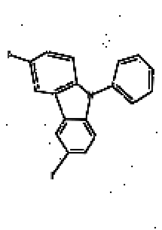 Ic1ccc2c(c1)c1cc(I)ccc1n2-c1ccccc1